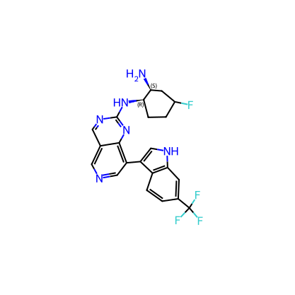 N[C@H]1CC(F)CC[C@H]1Nc1ncc2cncc(-c3c[nH]c4cc(C(F)(F)F)ccc34)c2n1